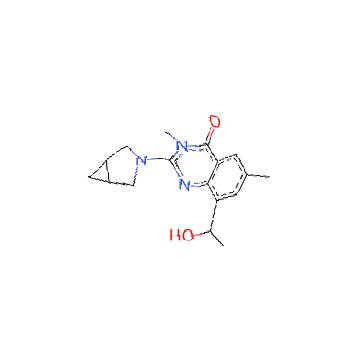 Cc1cc(C(C)O)c2nc(N3CC4CC4C3)n(C)c(=O)c2c1